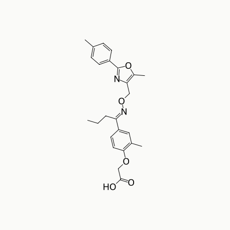 CCC/C(=N\OCc1nc(-c2ccc(C)cc2)oc1C)c1ccc(OCC(=O)O)c(C)c1